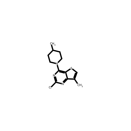 Cc1csc2c(N3CCC(C)CC3)nc(Cl)nc12